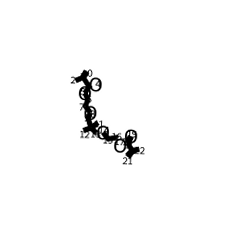 C=C(C)C(=O)OCCOCC(C)(C)COCCOC(=O)C(=C)C